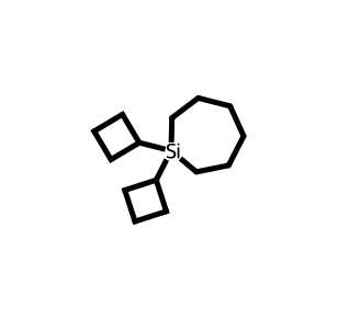 C1CCC[Si](C2CCC2)(C2CCC2)CC1